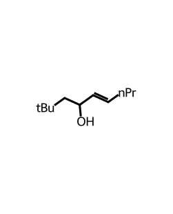 CCC/C=C/C(O)CC(C)(C)C